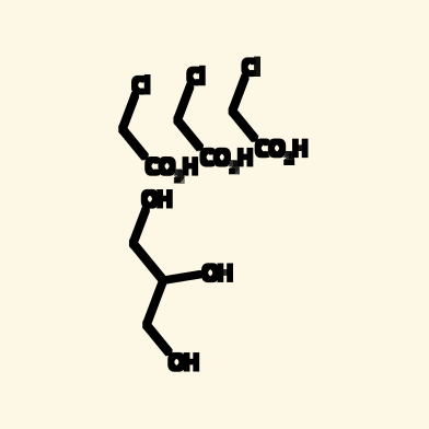 O=C(O)CCl.O=C(O)CCl.O=C(O)CCl.OCC(O)CO